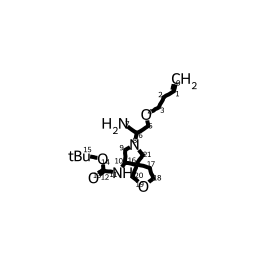 C=CCCOCC(N)N1CC(NC(=O)OC(C)(C)C)C2(CCOC2)C1